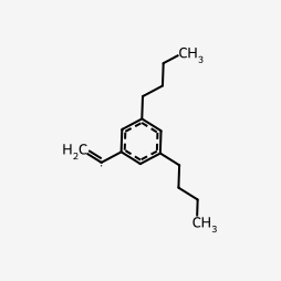 C=[C]c1cc(CCCC)cc(CCCC)c1